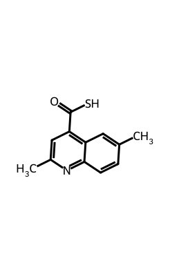 Cc1ccc2nc(C)cc(C(=O)S)c2c1